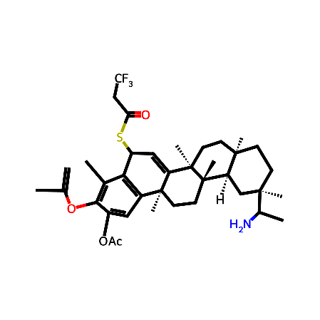 C=C(C)Oc1c(OC(C)=O)cc2c(c1C)C(SC(=O)CC(F)(F)F)C=C1[C@@]2(C)CC[C@@]2(C)[C@@H]3C[C@](C)(C(C)N)CC[C@]3(C)CC[C@]12C